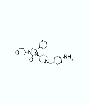 Nc1ccc(CN2CCC(N3C(=O)N(C4CCOCC4)C[C@H]3c3ccccc3)CC2)cc1